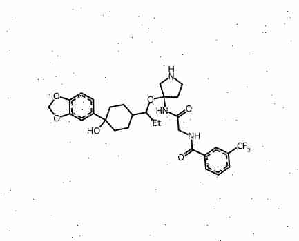 CCC(O[C@@]1(NC(=O)CNC(=O)c2cccc(C(F)(F)F)c2)CCNC1)C1CCC(O)(c2ccc3c(c2)OCO3)CC1